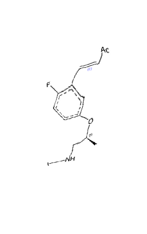 CC(=O)/C=C/c1cc(O[C@@H](C)CNI)ccc1F